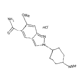 CNC1CCC(n2cc3cc(C(N)=O)c(OC)cc3n2)CC1.Cl